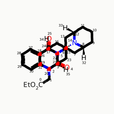 CCOC(=O)Cn1c(=O)n(C2C[C@H]3CCC[C@@H](C2)N3[C@H]2C[C@@H]3CCC[C@@H](C3)C2)c(=O)c2ccccc21